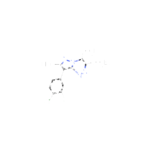 CCOC(=O)c1nnc2c(-c3ccc(Cl)c(Cl)c3)c(C)nn2c1C(=O)OCC